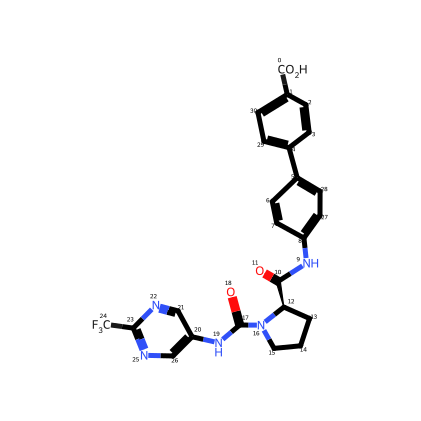 O=C(O)c1ccc(-c2ccc(NC(=O)[C@H]3CCCN3C(=O)Nc3cnc(C(F)(F)F)nc3)cc2)cc1